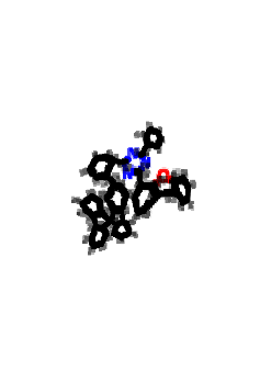 c1ccc(-c2nc(-c3ccccc3-c3ccc4c(c3)C3(c5ccccc5-c5ccccc53)c3ccccc3-4)nc(-c3cccc4c3oc3ccccc34)n2)cc1